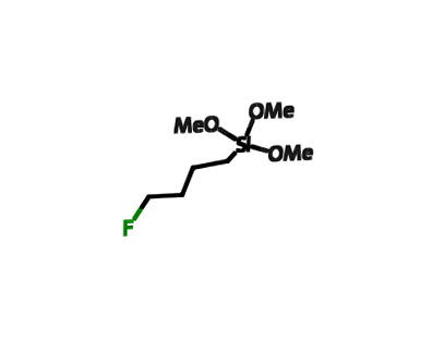 CO[Si](CCCCF)(OC)OC